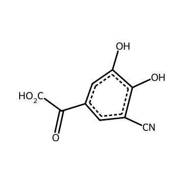 N#Cc1cc(C(=O)C(=O)O)cc(O)c1O